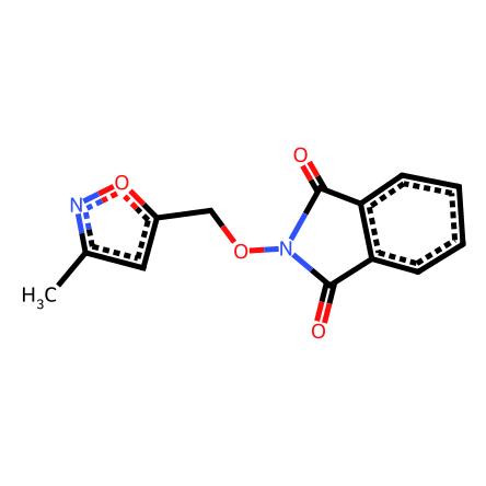 Cc1cc(CON2C(=O)c3ccccc3C2=O)on1